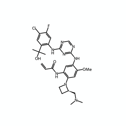 C=CC(=O)Nc1cc(Nc2ncnc(Nc3cc(F)c(Cl)cc3C(C)(C)O)n2)c(OC)cc1N1CC[C@@H]1CN(C)C